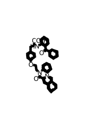 O=C(c1ccccc1)c1ccccc1NC(Cc1ccc(OCCN(C(=O)c2cc3ccccc3cn2)c2ccccc2)cc1)C(=O)O